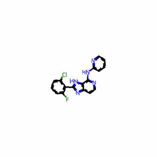 Fc1cccc(Cl)c1-c1nc2ccnc(Nc3ccccn3)c2[nH]1